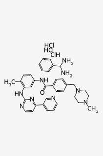 Cc1ccc(NC(=O)c2ccc(CN3CCN(C)CC3)cc2)cc1Nc1nccc(-c2cccnc2)n1.Cl.Cl.Cl.NC(N)c1ccccc1